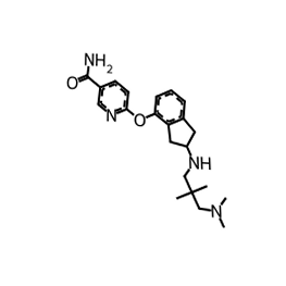 CN(C)CC(C)(C)CNC1Cc2cccc(Oc3ccc(C(N)=O)cn3)c2C1